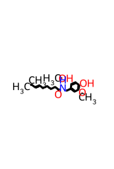 CO.COc1cc(CNC(=O)CCCCC=CC(C)C)ccc1O